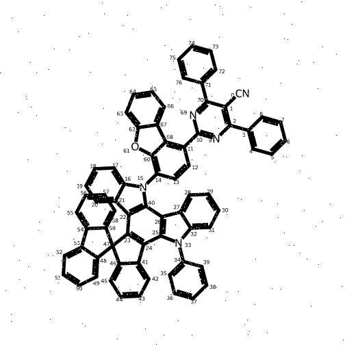 N#Cc1c(-c2ccccc2)nc(-c2ccc(-n3c4ccccc4c4c5c(c6c(c7ccccc7n6-c6ccccc6)c43)-c3ccccc3C53c4ccccc4-c4ccccc43)c3oc4ccccc4c23)nc1-c1ccccc1